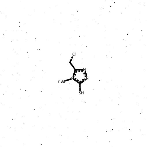 CCCCn1c(S)nnc1CCl